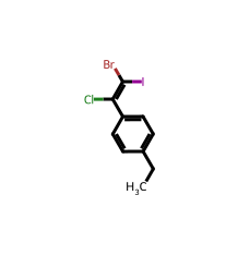 CCc1ccc(C(Cl)=C(Br)I)cc1